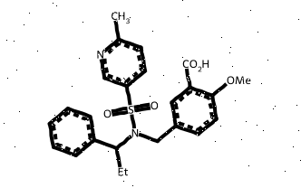 CCC(c1ccccc1)N(Cc1ccc(OC)c(C(=O)O)c1)S(=O)(=O)c1ccc(C)nc1